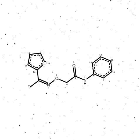 C/C(=N/OCC(=O)Nc1ccccc1)c1ccco1